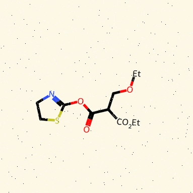 CCOCC(C(=O)OCC)C(=O)OC1=NCCS1